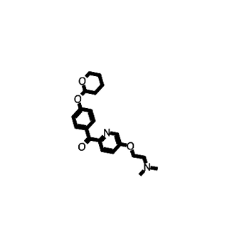 CN(C)CCOc1ccc(C(=O)c2ccc(OC3CCCCO3)cc2)nc1